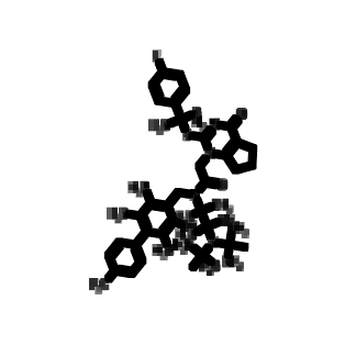 Bc1c(B)c(-c2ccc(C(F)(F)F)cc2)c(B)c(B)c1CN(C(=O)Cn1c(SC(B)(B)c2ccc(F)cc2)nc(=O)c2c1CCC2)C(B)(B)C(B)(B)N(C(B)(B)C)C(B)(B)C